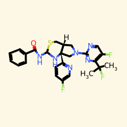 CC(C)(F)c1nc(N2C[C@H]3CSC(NC(=O)c4ccccc4)N[C@@]3(c3ccc(F)cn3)C2)ncc1F